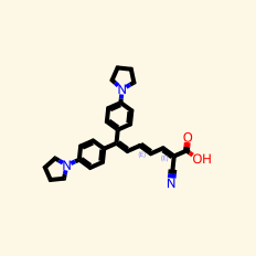 N#C/C(=C\C=C\C=C(c1ccc(N2CCCC2)cc1)c1ccc(N2CCCC2)cc1)C(=O)O